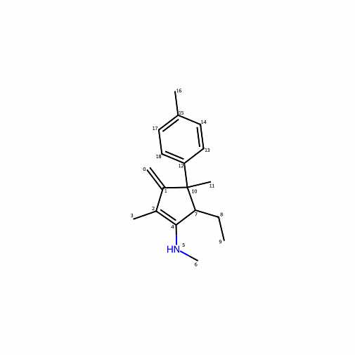 C=C1C(C)=C(NC)C(CC)C1(C)c1ccc(C)cc1